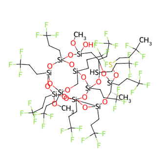 CO[Si]1(O)CC2(CC(F)(F)F)O[Si](CCC(F)(F)F)(OSCCC(C)(F)F)[C@H](C)O[Si]3(CCC(F)(F)F)O[Si](CCC(F)(F)F)(OC)O[Si]4(CCC(F)(F)F)O[Si](CCC(F)(F)F)(O1)O[Si]1(CCC(F)(F)F)CO[Si](CCC(F)(F)F)(O4)O[Si](CCC(F)(F)F)(O[Si](CCC(F)(F)F)(O[SiH]2CCC(F)(F)F)O1)O3